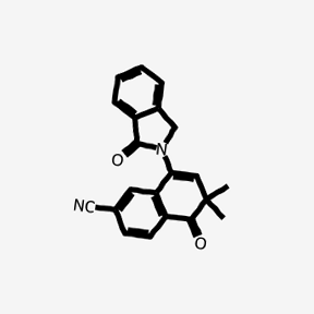 CC1(C)C=C(N2Cc3ccccc3C2=O)c2cc(C#N)ccc2C1=O